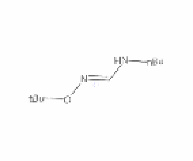 CCCCN/C=N/OC(C)(C)C